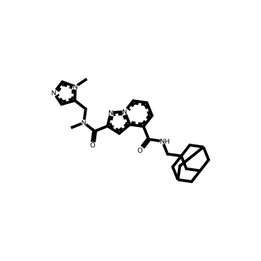 CN(Cc1cncn1C)C(=O)c1cc2c(C(=O)NCC34CC5CC(CC(C5)C3)C4)cccn2n1